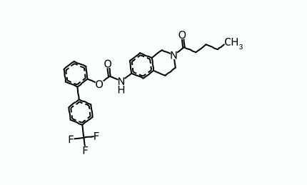 CCCCC(=O)N1CCc2cc(NC(=O)Oc3ccccc3-c3ccc(C(F)(F)F)cc3)ccc2C1